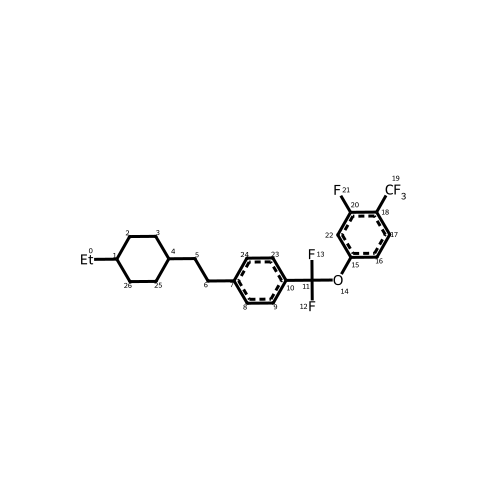 CCC1CCC(CCc2ccc(C(F)(F)Oc3ccc(C(F)(F)F)c(F)c3)cc2)CC1